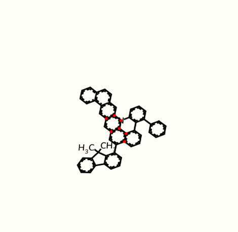 CC1(C)c2ccccc2-c2cccc(-c3ccc(N(c4ccc5c(ccc6ccccc65)c4)c4cccc(-c5ccccc5)c4-c4ccccc4-c4ccccc4)cc3)c21